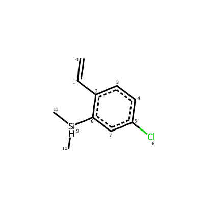 C=Cc1ccc(Cl)cc1[SiH](C)C